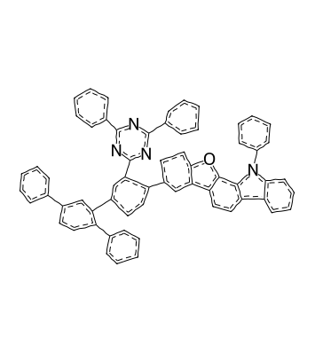 c1ccc(-c2ccc(-c3ccccc3)c(-c3ccc(-c4ccc5oc6c(ccc7c8ccccc8n(-c8ccccc8)c76)c5c4)c(-c4nc(-c5ccccc5)nc(-c5ccccc5)n4)c3)c2)cc1